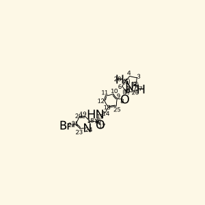 CN1[C@@H]2CC[C@H]1C[C@@H](Oc1cccc(CNC(=O)c3ccc(Br)cn3)c1)C2